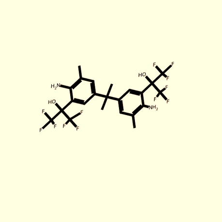 Cc1cc(C(C)(C)c2cc(C)c(N)c(C(O)(C(F)(F)F)C(F)(F)F)c2)cc(C(O)(C(F)(F)F)C(F)(F)F)c1N